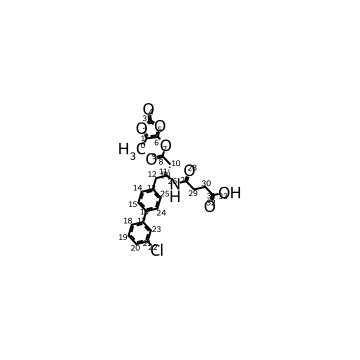 Cc1oc(=O)oc1OC(=O)C[C@@H](Cc1ccc(-c2cccc(Cl)c2)cc1)NC(=O)CCC(=O)O